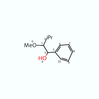 COC(C(C)C)C(O)c1cc[c]cc1